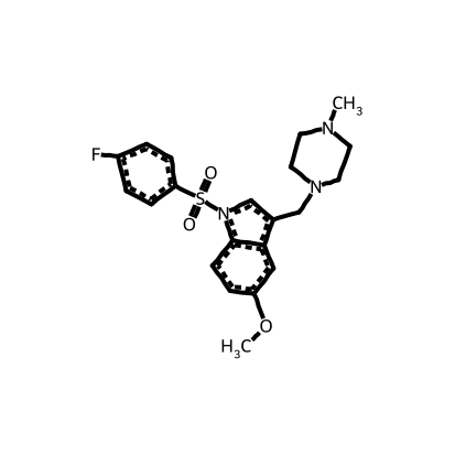 COc1ccc2c(c1)c(CN1CCN(C)CC1)cn2S(=O)(=O)c1ccc(F)cc1